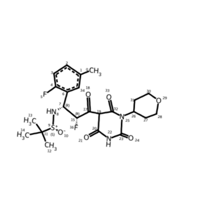 Cc1ccc(F)c([C@@H](N[S@+]([O-])C(C)(C)C)[C@@H](F)C(=O)C2C(=O)NC(=O)N(C3CCOCC3)C2=O)c1